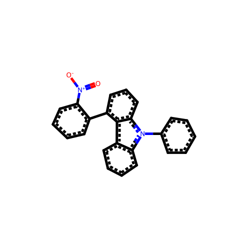 O=[N+]([O-])c1ccccc1-c1cccc2c1c1ccccc1n2-c1ccccc1